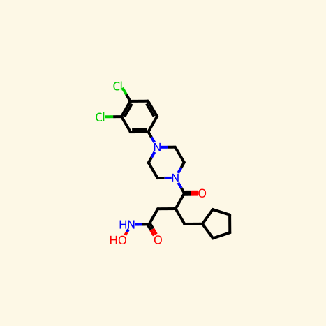 O=C(CC(CC1CCCC1)C(=O)N1CCN(c2ccc(Cl)c(Cl)c2)CC1)NO